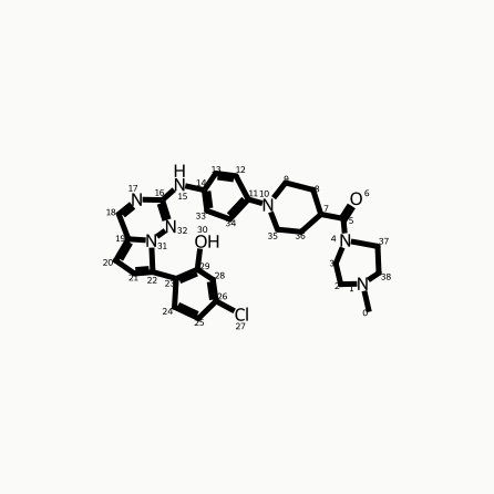 CN1CCN(C(=O)C2CCN(c3ccc(Nc4ncc5ccc(-c6ccc(Cl)cc6O)n5n4)cc3)CC2)CC1